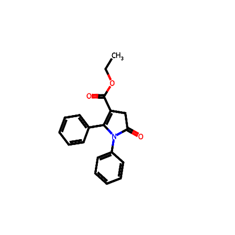 CCOC(=O)C1=C(c2ccccc2)N(c2ccccc2)C(=O)C1